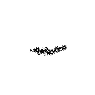 CC(=O)N1CCN(C2CC(C(=O)Nc3nc4ccc(-c5cnc(COC6CCCC6)nc5)cc4s3)C2)C(C)C1